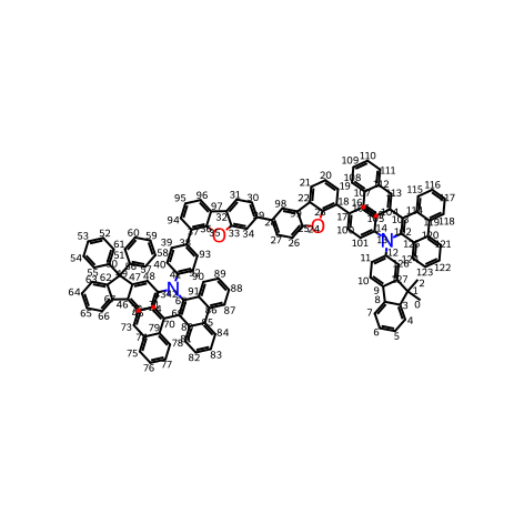 CC1(C)c2ccccc2-c2ccc(N(c3ccc(-c4cccc5c4oc4ccc(-c6ccc7c(c6)oc6c(-c8ccc(N(c9ccc%10c(c9)C(c9ccccc9)(c9ccccc9)c9ccccc9-%10)c9c(-c%10cccc%11ccccc%10%11)c%10ccccc%10c%10ccccc9%10)cc8)cccc67)cc45)cc3)c3c(-c4ccc5ccccc5c4)c4ccccc4c4ccccc34)cc21